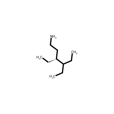 CCC(CC)[C@H](CC)CCN